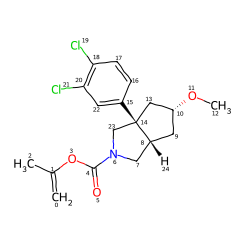 C=C(C)OC(=O)N1C[C@H]2C[C@@H](OC)C[C@@]2(c2ccc(Cl)c(Cl)c2)C1